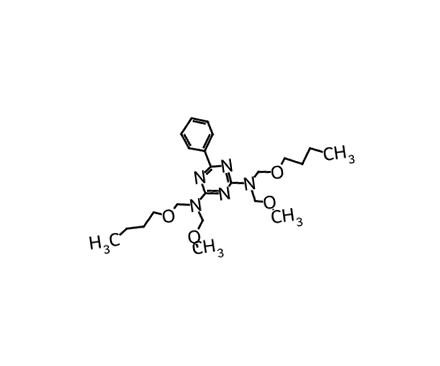 CCCCOCN(COC)c1nc(-c2ccccc2)nc(N(COC)COCCCC)n1